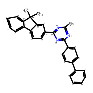 CC(C)(C)c1nc(-c2ccc(-c3ccccc3)cc2)nc(-c2ccc3c(c2)C(C)(C)c2ccccc2-3)n1